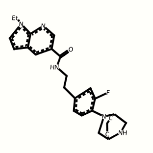 CCn1ccc2cc(C(=O)NCCc3ccc(N4CC5CCCC4CN5)c(F)c3)cnc21